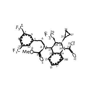 COC(=O)N(Cc1cc(C(F)(F)F)cc(C(F)(F)F)c1)C1c2ccccc2N(C(=O)Cl)[C@H](C2CC2)[C@@H]1C(F)(F)F